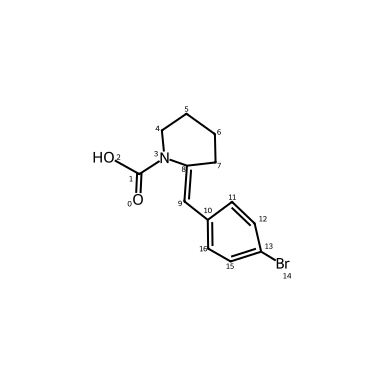 O=C(O)N1CCCCC1=Cc1ccc(Br)cc1